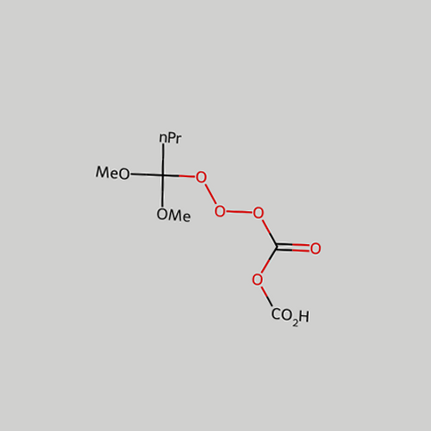 CCCC(OC)(OC)OOOC(=O)OC(=O)O